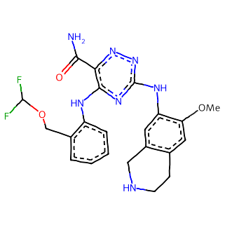 COc1cc2c(cc1Nc1nnc(C(N)=O)c(Nc3ccccc3COC(F)F)n1)CNCC2